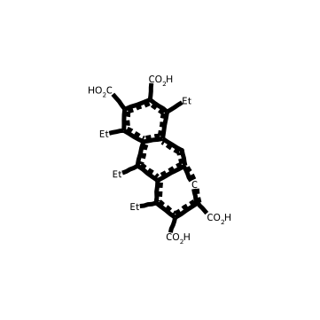 CCc1c(C(=O)O)c(C(=O)O)c(CC)c2c(CC)c3c(CC)c(C(=O)O)c(C(=O)O)cc3cc12